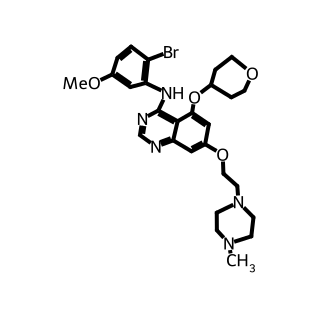 COc1ccc(Br)c(Nc2ncnc3cc(OCCN4CCN(C)CC4)cc(OC4CCOCC4)c23)c1